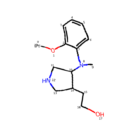 CC(C)Oc1ccccc1N(C)C1CNCC1CCO